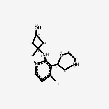 CC1(Nc2nccc(I)c2C2CNCCO2)CC(O)C1